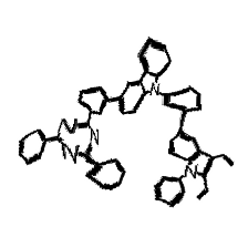 C=Cc1c(C=C)n(-c2ccccc2)c2ccc(-c3cccc(-n4c5ccccc5c5cc(-c6cccc(-c7nc(-c8ccccc8)nc(-c8ccccc8)n7)c6)ccc54)c3)cc12